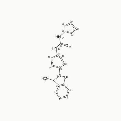 NC1c2ccccc2ON1c1ccc(NC(=O)Nc2ccsc2)cc1